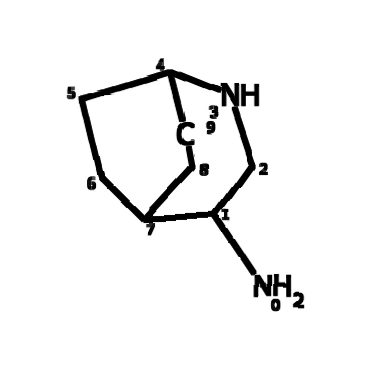 NC1CNC2CCC1CC2